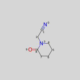 N#CCN1CCCCC1=O